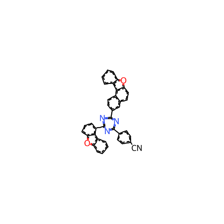 N#Cc1ccc(-c2nc(-c3ccc4c(ccc5oc6ccccc6c54)c3)nc(-c3cccc4oc5ccccc5c34)n2)cc1